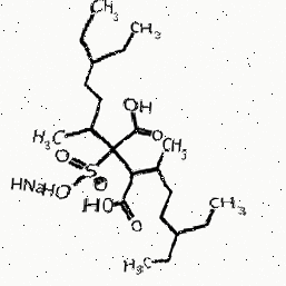 CCC(CC)CCC(C)C(C(=O)O)C(C(=O)O)(C(C)CCC(CC)CC)S(=O)(=O)O.[NaH]